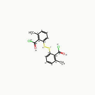 Cc1cccc(SSc2cccc(C)c2C(=O)Cl)c1C(=O)Cl